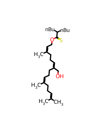 CCCCC(CCCC)C(=S)OCC=C(C)CCC=C(CO)CCC=C(C)CCC=C(C)C